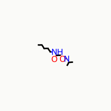 CCCCCNC(=O)CON=C(C)C